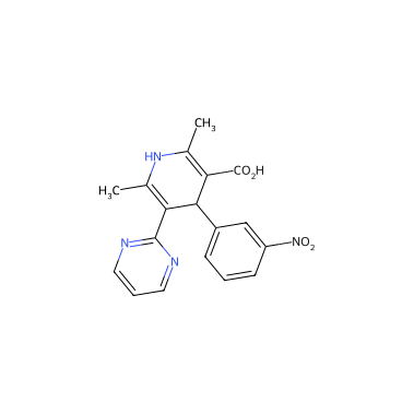 CC1=C(C(=O)O)C(c2cccc([N+](=O)[O-])c2)C(c2ncccn2)=C(C)N1